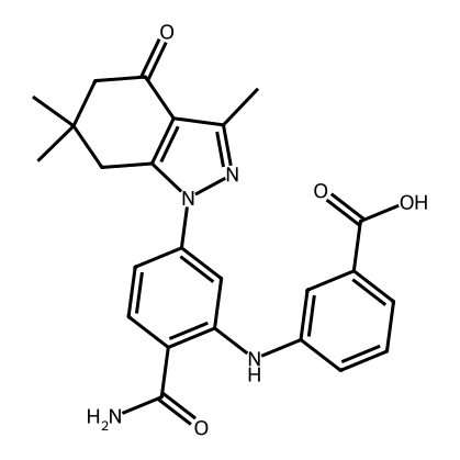 Cc1nn(-c2ccc(C(N)=O)c(Nc3cccc(C(=O)O)c3)c2)c2c1C(=O)CC(C)(C)C2